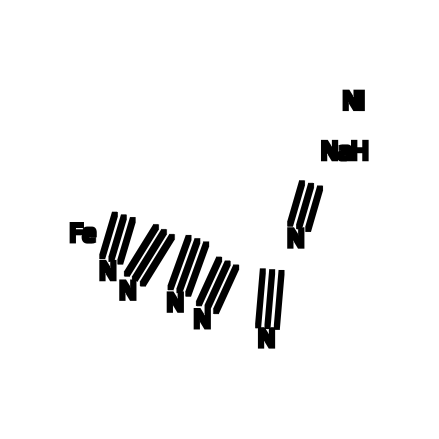 C#N.C#N.C#N.C#N.C#N.C#N.[Fe].[NaH].[Ni]